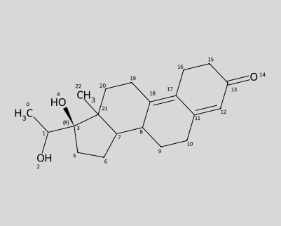 CC(O)[C@@]1(O)CCC2C3CCC4=CC(=O)CCC4=C3CCC21C